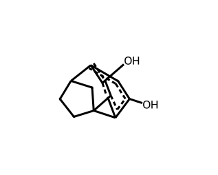 Oc1cc2c(O)c3c1C31CCC2C1